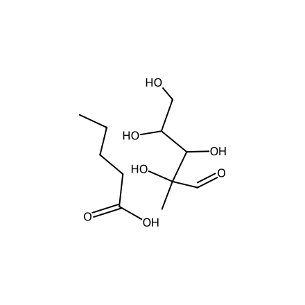 CC(O)(C=O)C(O)C(O)CO.CCCCC(=O)O